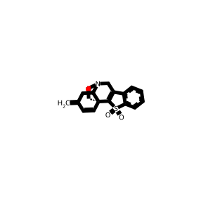 C=C1C=C[C@]23CCN(CC4=C2S(=O)(=O)c2ccccc24)[C@H]3C1